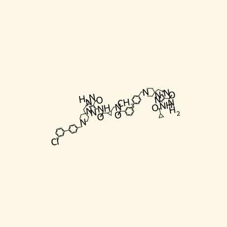 CN(CC1CC1C(=O)Nc1nn(C2(CC#N)CCN(Cc3ccc(-c4cccc(Cl)c4)cc3)CC2)cc1C(N)=O)C(=O)c1cccc(-c2ccc(CN3CCC(CC#N)(n4cc(C(N)=O)c(NC(=O)C5CC5)n4)CC3)cc2)c1